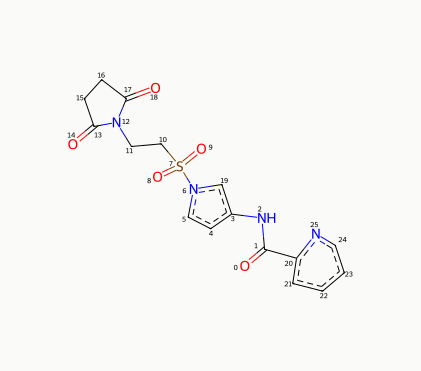 O=C(Nc1ccn(S(=O)(=O)CCN2C(=O)CCC2=O)c1)c1ccccn1